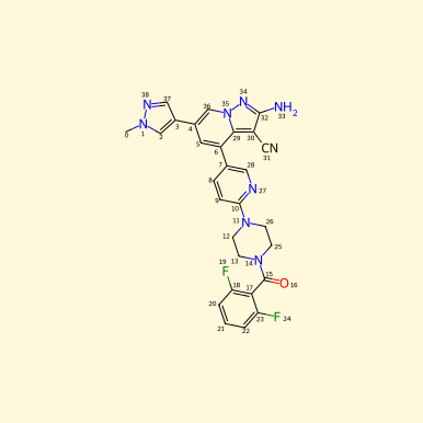 Cn1cc(-c2cc(-c3ccc(N4CCN(C(=O)c5c(F)cccc5F)CC4)nc3)c3c(C#N)c(N)nn3c2)cn1